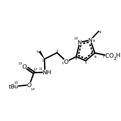 C[C@@H](COc1cc(C(=O)O)n(C)n1)NC(=O)OC(C)(C)C